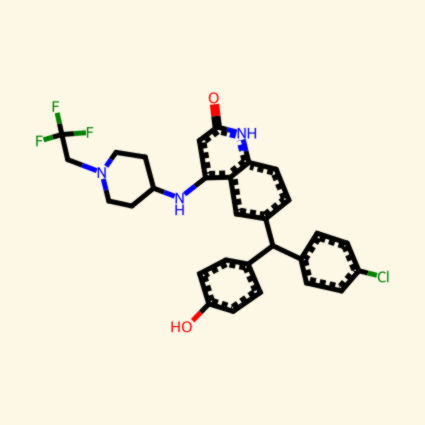 O=c1cc(NC2CCN(CC(F)(F)F)CC2)c2cc(C(c3ccc(O)cc3)c3ccc(Cl)cc3)ccc2[nH]1